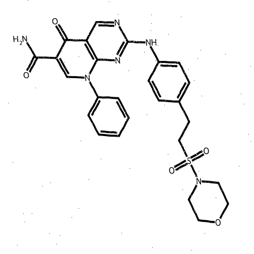 NC(=O)c1cn(-c2ccccc2)c2nc(Nc3ccc(CCS(=O)(=O)N4CCOCC4)cc3)ncc2c1=O